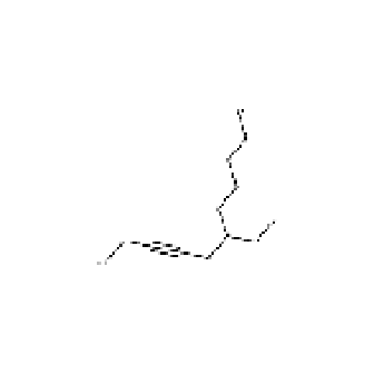 [CH2]CC#CCC(CC)CCCC[CH2]